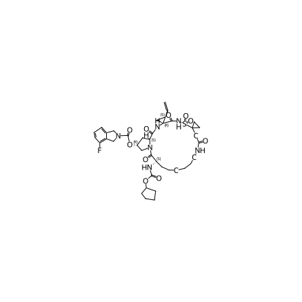 C=C[C@@H]1C[C@@]12NC(=O)[C@@H]1C[C@@H](OC(=O)N3Cc4cccc(F)c4C3)CN1C(=O)[C@@H](NC(=O)OC1CCCC1)CCCCCCNC(=O)CC1(CC1)S(=O)(=O)NC2=O